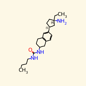 CCCCNC(=O)NC1CCc2cc([C@H]3CC[C@](N)(CC)C3)ccc2C1